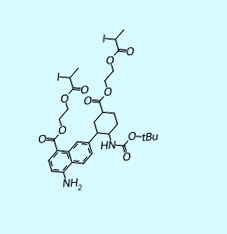 CC(I)C(=O)OCCOC(=O)c1ccc(N)c2ccc(C3CC(C(=O)OCCOC(=O)C(C)I)CCC3NC(=O)OC(C)(C)C)cc12